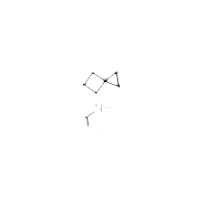 CC(C)CN[C@@H]1CCC12CC2